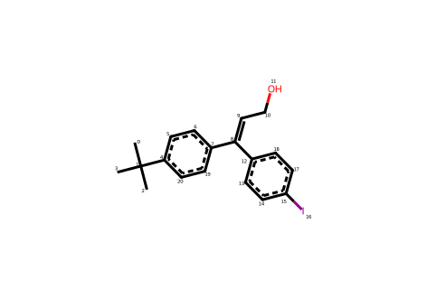 CC(C)(C)c1ccc(/C(=C/CO)c2ccc(I)cc2)cc1